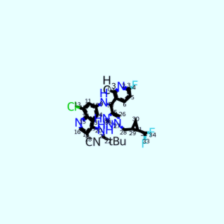 Cc1nc(F)ccc1[C@H](Nc1cc(Cl)c2ncc(C#N)c(NCC(C)(C)C)c2c1)C1=CN(CC2CC2C(F)F)NN1